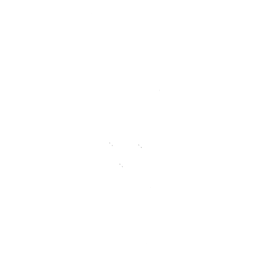 c1ccc(-c2nc(-c3cccc4c3oc3ccccc34)nc(-c3ccc(-c4ccc5ccc6ccccc6c5c4)c4oc5ccccc5c34)n2)cc1